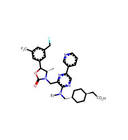 CCN(C[C@H]1CC[C@H](CC(=O)O)CC1)c1ncc(-c2cccnc2)nc1CN1C(=O)OC(c2cc(CF)cc(C(F)(F)F)c2)[C@@H]1C